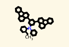 CCC1C=CC=CC1N(c1ccccc1)c1cc(-c2ccc3c4c(cccc24)-c2ccccc2-3)cc(-c2ccc3c4c(cccc24)-c2ccccc2-3)c1